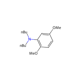 CCCCN(CCCC)c1cc(OC)ccc1OC